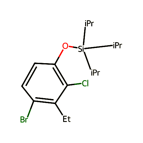 CCc1c(Br)ccc(O[Si](C(C)C)(C(C)C)C(C)C)c1Cl